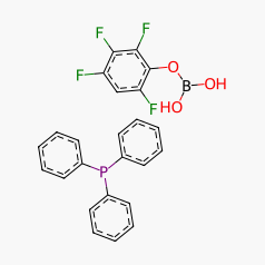 OB(O)Oc1c(F)cc(F)c(F)c1F.c1ccc(P(c2ccccc2)c2ccccc2)cc1